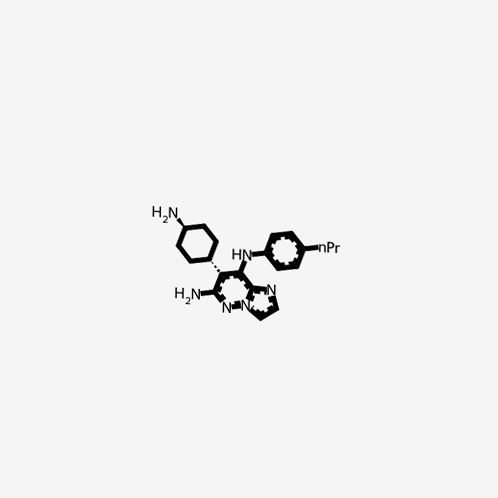 CCCc1ccc(Nc2c3nccn3nc(N)c2[C@H]2CC[C@H](N)CC2)cc1